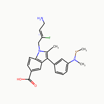 CSN(C)c1cccc(-c2c(C)n(C/C(F)=C/CN)c3ccc(C(=O)O)cc23)c1